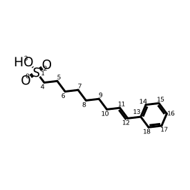 O=S(=O)(O)CCCCCCCC=Cc1ccccc1